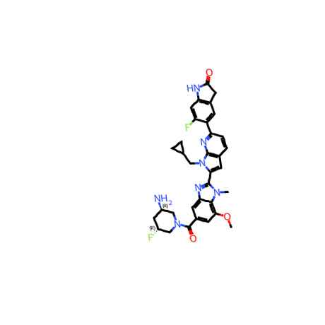 COc1cc(C(=O)N2C[C@H](N)C[C@@H](F)C2)cc2nc(-c3cc4ccc(-c5cc6c(cc5F)NC(=O)C6)nc4n3CC3CC3)n(C)c12